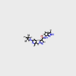 Cc1nc(N2C[C@@H]3[C@@H](C)[C@@H]3C2)ccc1Cn1cc(C(=O)N[C@@H]2CCc3c2n[nH]c3C)cn1